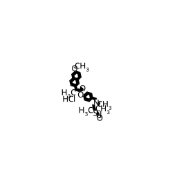 COc1ccc2cc([C@H](C)C(=O)Oc3ccc(CN(C)CC(C)(C)SN=O)cc3)ccc2c1.Cl